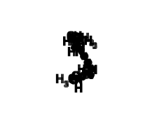 COC(=O)N[C@H](C(=O)N1CCC[C@H]1c1ncc(-c2ccc(-c3ccc(-c4cnc(C5CCCN5C(=O)[C@H]5CC[C@@H](NC(=O)OC)CC5)[nH]4)cc3)cc2)[nH]1)C(C)C